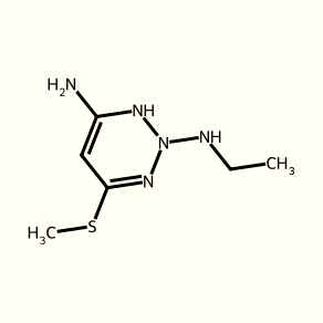 CCNN1N=C(SC)C=C(N)N1